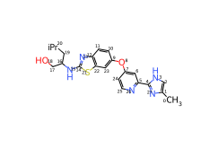 Cc1c[nH]c(-c2cc(Oc3ccc4nc(NC(CO)CC(C)C)sc4c3)ccn2)n1